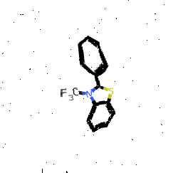 FC(F)(F)N1c2ccccc2SC1c1ccccc1